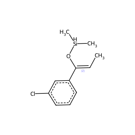 C/C=C(\O[SiH](C)C)c1cccc(Cl)c1